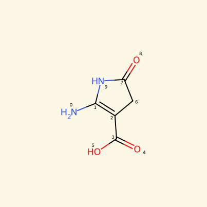 NC1=C(C(=O)O)CC(=O)N1